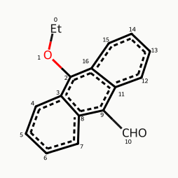 CCOc1c2ccccc2c(C=O)c2ccccc12